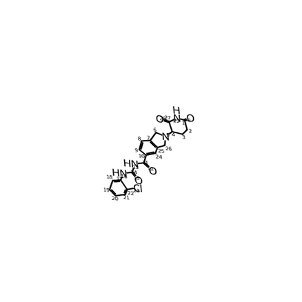 O=C1CCC(N2Cc3ccc(C(=O)NC(=O)Nc4ccccc4Cl)cc3C2)C(=O)N1